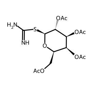 CC(=O)OC[C@H]1O[C@@H](SC(=N)N)[C@H](OC(C)=O)[C@@H](OC(C)=O)[C@H]1OC(C)=O